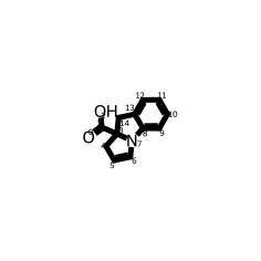 O=C(O)C12CC=CN1c1ccccc1C2